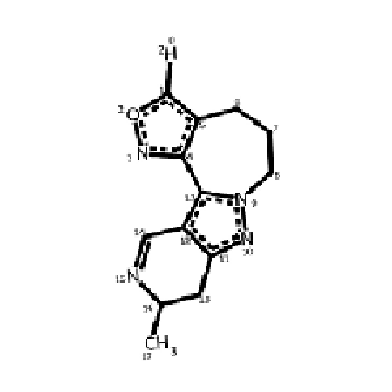 [2H]c1onc2c1CCCn1nc3c(c1-2)C=NC(C)C3